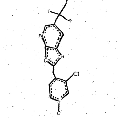 [O-][n+]1ccc(-c2nc3cc(C(F)(F)F)cnc3o2)c(Cl)c1